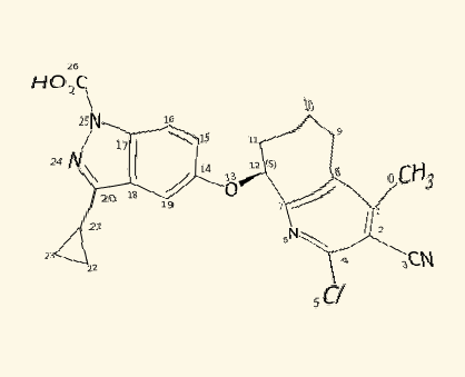 Cc1c(C#N)c(Cl)nc2c1CCC[C@@H]2Oc1ccc2c(c1)c(C1CC1)nn2C(=O)O